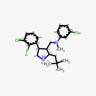 CN(CC1C(CC(C)(C)C)NCC1c1cccc(Cl)c1F)c1cccc(Cl)c1